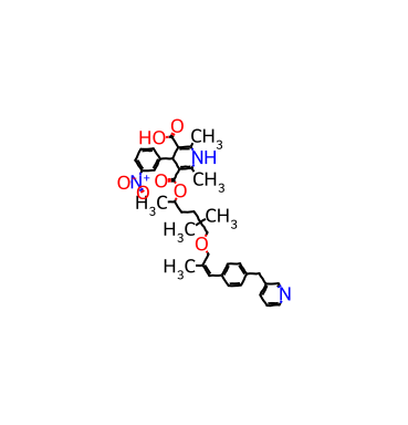 CC(=Cc1ccc(Cc2cccnc2)cc1)COCC(C)(C)CCC(C)OC(=O)C1=C(C)NC(C)=C(C(=O)O)C1c1cccc([N+](=O)[O-])c1